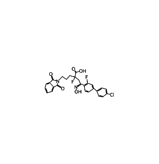 O=C1c2ccccc2C(=O)N1CCCC(F)(CC(=NO)c1ccc(-c2ccc(Cl)cc2)cc1F)C(=O)O